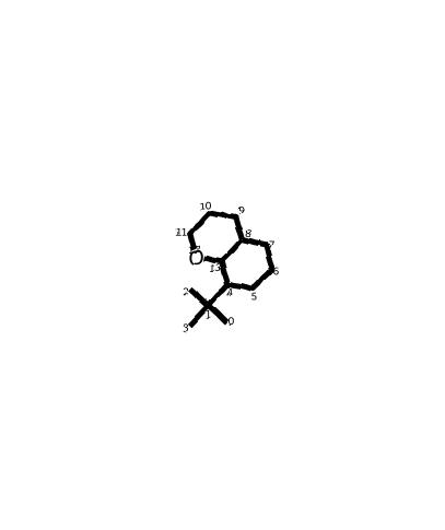 CC(C)(C)C1CCCC2CCCOC21